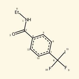 CCNC(=O)c1ccc(C(F)(F)I)cc1